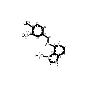 Cn1cnc2ccnc(OCc3ccc(Cl)c([N+](=O)[O-])c3)c21